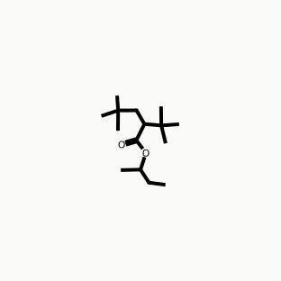 CCC(C)OC(=O)C(CC(C)(C)C)C(C)(C)C